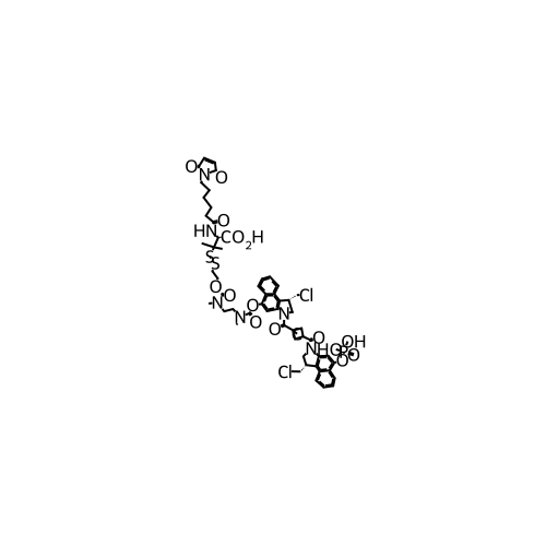 CN(CCN(C)C(=O)Oc1cc2c(c3ccccc13)[C@H](CCl)CN2C(=O)C12CC(C(=O)N3C[C@@H](CCl)c4c3cc(OP(=O)(O)O)c3ccccc43)(C1)C2)C(=O)OCCSSC(C)(C)[C@H](NC(=O)CCCCCN1C(=O)C=CC1=O)C(=O)O